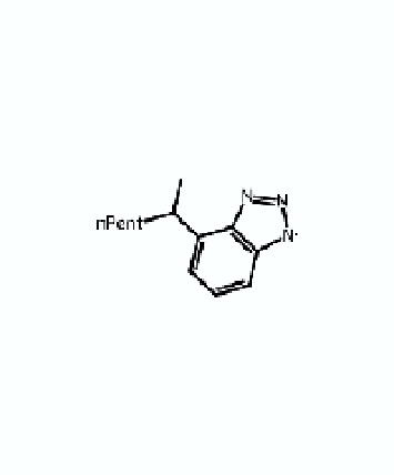 CCCCCC(C)c1cccc2c1N=N[N]2